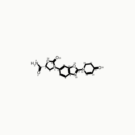 NC(=O)[C@H]1CN(c2ccc3nc(N4C=CC(=O)CC4)oc3c2)C(=O)O1